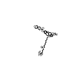 C[C@]12CC[C@@H]3c4ccc(OC(=O)N5CCC6(CCOCC6)CC5)cc4C[C@@H](CCCCCCCCC[S+]([O-])CCCC(F)(F)C(F)(F)F)[C@H]3[C@@H]1CC[C@@H]2O